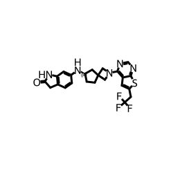 O=C1Cc2ccc(N[C@@H]3CCC4(C3)CN(c3ncnc5sc(CC(F)(F)F)cc35)C4)cc2N1